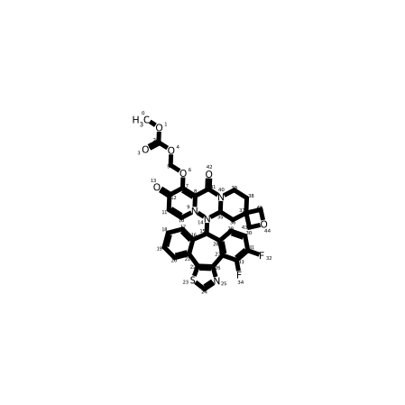 COC(=O)OCOc1c2n(ccc1=O)N(C1c3ccccc3-c3scnc3-c3c1ccc(F)c3F)C1CC3(CCN1C2=O)COC3